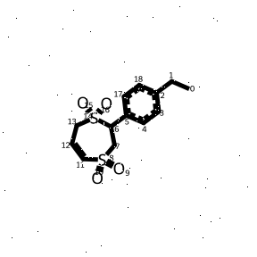 CCc1ccc(C2CS(=O)(=O)C=CCS2(=O)=O)cc1